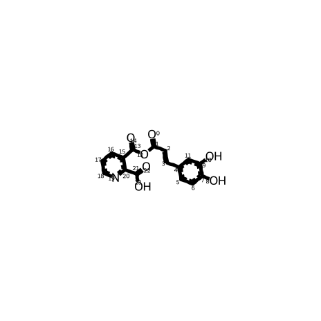 O=C(C=Cc1ccc(O)c(O)c1)OC(=O)c1cccnc1C(=O)O